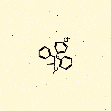 COC(C)[P+](c1ccccc1)(c1ccccc1)c1ccccc1.[Cl-]